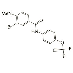 CNc1ccc(C(=O)Nc2ccc(OC(F)(F)Cl)cc2)cc1Br